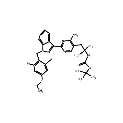 CCOc1cc(F)c(Cn2nc(-c3ncc(CC(C)(C)NC(=O)OC(C)(C)C)c(N)n3)c3ccccc32)c(F)c1